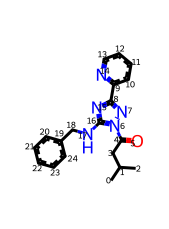 CC(C)CC(=O)n1nc(-c2ccccn2)nc1NCc1ccccc1